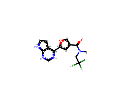 CN(CC(F)(F)F)C(=O)c1coc(-c2ncnc3[nH]ccc23)c1